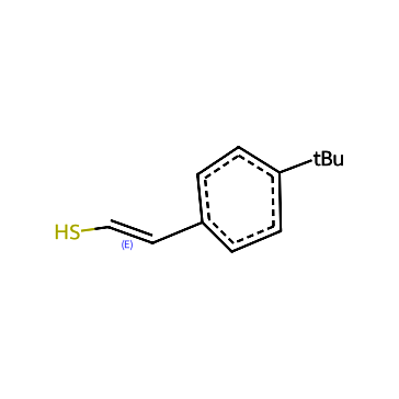 CC(C)(C)c1ccc(/C=C/S)cc1